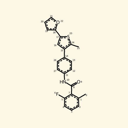 Cc1cccc(F)c1C(=O)Nc1ccc(-c2cc(-c3ccco3)sc2C)cc1